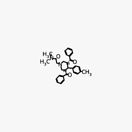 Cc1ccc(C2[C@@H](C(=O)c3ccccc3)CN(CC(=O)N(C)C)C[C@@H]2C(=O)c2ccccc2)cc1